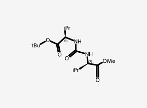 COC(=O)[C@H](NC(=O)N[C@@H](C(=O)OC(C)(C)C)C(C)C)C(C)C